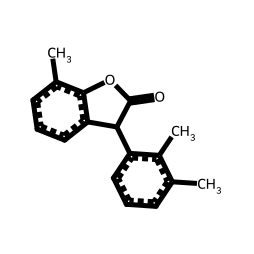 Cc1cccc(C2C(=O)Oc3c(C)cccc32)c1C